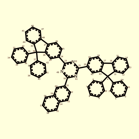 c1ccc(C2(c3ccccc3)c3ccccc3-c3ccc(-c4nc(-c5ccc6c(c5)C(c5ccccc5)(c5ccccc5)c5ccccc5-6)nc(-c5ccc6ccccc6c5)n4)cc32)cc1